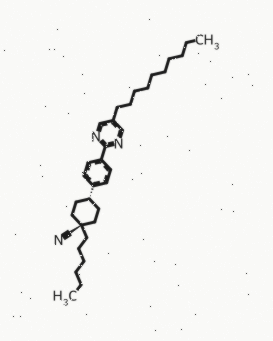 CCCCCCCCCCc1cnc(-c2ccc([C@H]3CC[C@@](C#N)(CCCCCC)CC3)cc2)nc1